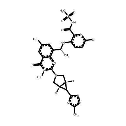 Cc1cc([C@@H](C)Nc2ccc(Cl)nc2C(=O)NS(C)(=O)=O)c2nc(N3C[C@@H]4C(c5nnc(C)o5)[C@@H]4C3)n(C)c(=O)c2c1